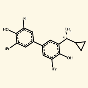 CC(C)c1cc(-c2cc(C(C)C)c(O)c([C@H](C)C3CC3)c2)cc(C(C)C)c1O